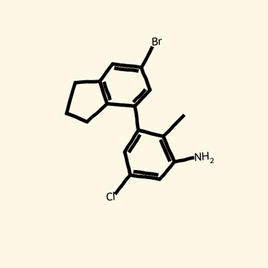 Cc1c(N)cc(Cl)cc1-c1cc(Br)cc2c1CCC2